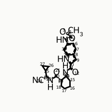 CS(=O)(=O)Nc1ccc2cc(C(=O)N[C@H]3CCCC[C@H]3C(=O)N[C@H](C#N)C3CC3)[nH]c2c1